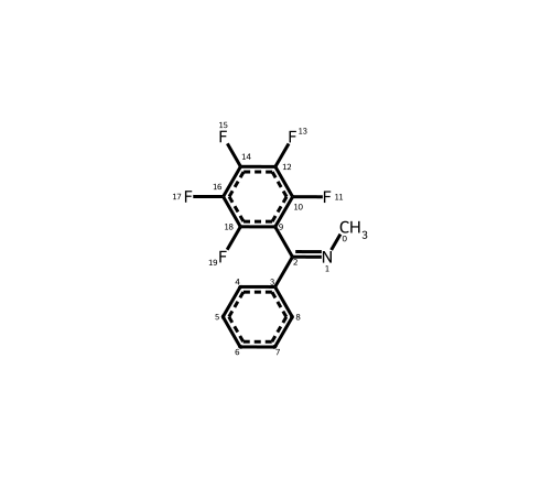 C/N=C(/c1ccccc1)c1c(F)c(F)c(F)c(F)c1F